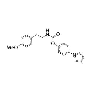 COc1ccc(CCNC(=O)Oc2ccc(-n3cccc3)cc2)cc1